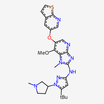 COc1c(Oc2cnc3sccc3c2)cnc2nc(Nc3cc(C(C)(C)C)n(C4CCN(C)C4)n3)n(C)c12